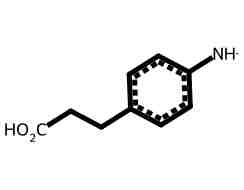 [NH]c1ccc(CCC(=O)O)cc1